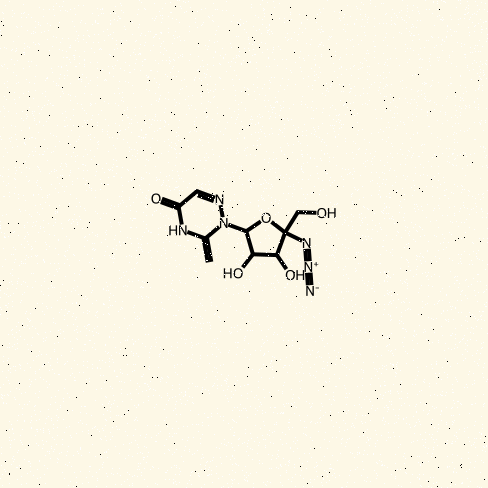 C=C1NC(=O)C=NN1C1OC(CO)(N=[N+]=[N-])C(O)C1O